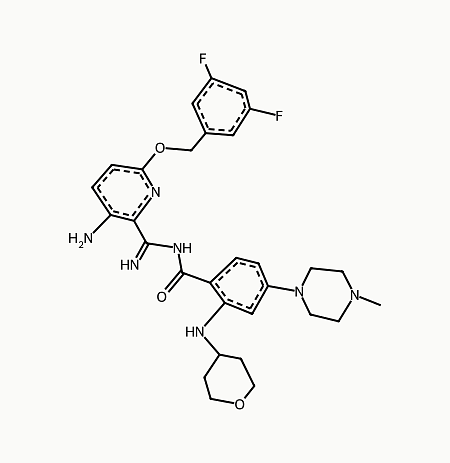 CN1CCN(c2ccc(C(=O)NC(=N)c3nc(OCc4cc(F)cc(F)c4)ccc3N)c(NC3CCOCC3)c2)CC1